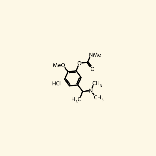 CNC(=O)Oc1cc(C(C)N(C)C)ccc1OC.Cl